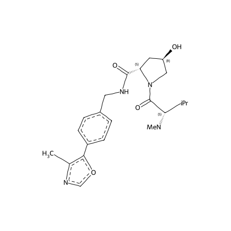 CN[C@H](C(=O)N1C[C@H](O)C[C@H]1C(=O)NCc1ccc(-c2ocnc2C)cc1)C(C)C